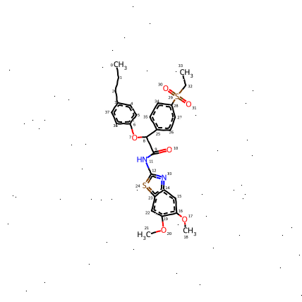 CCCc1ccc(OC(C(=O)Nc2nc3cc(OC)c(OC)cc3s2)c2ccc(S(=O)(=O)CC)cc2)cc1